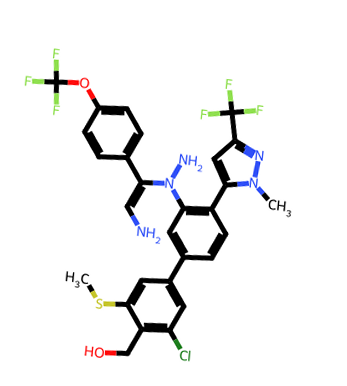 CSc1cc(-c2ccc(-c3cc(C(F)(F)F)nn3C)c(N(N)/C(=C\N)c3ccc(OC(F)(F)F)cc3)c2)cc(Cl)c1CO